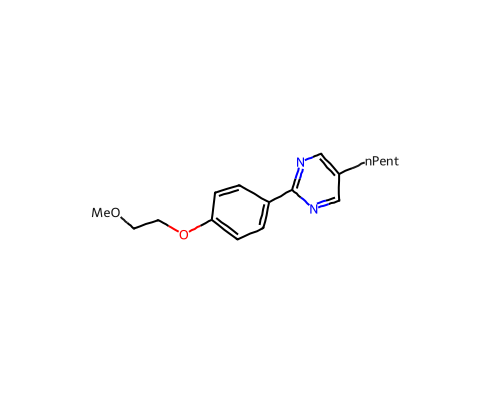 CCCCCc1cnc(-c2ccc(OCCOC)cc2)nc1